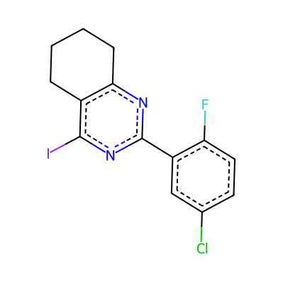 Fc1ccc(Cl)cc1-c1nc(I)c2c(n1)CCCC2